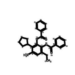 CCc1cc(C)c(C2CCCC2)c(OC(=O)c2ccccc2)c1OC(=O)c1ccccc1